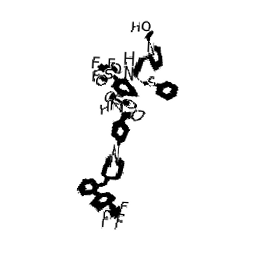 O=C(NS(=O)(=O)c1ccc(N[C@@H](CSc2ccccc2)C[C@@H]2CCCN2CCO)c(S(=O)(=O)C(F)(F)F)c1)c1ccc(N2CCC(Cc3ccccc3-c3ccc(C(F)(F)F)cc3)CC2)cc1